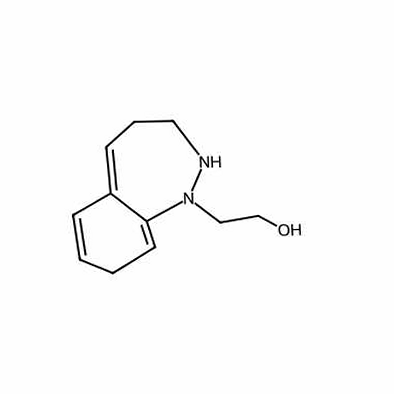 OCCN1NCCC=C2C=CCC=C21